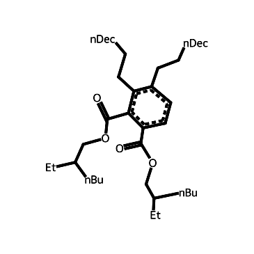 CCCCCCCCCCCCc1ccc(C(=O)OCC(CC)CCCC)c(C(=O)OCC(CC)CCCC)c1CCCCCCCCCCCC